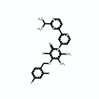 Cc1c(OCc2ccc(F)cc2F)c(Cl)c(=O)n(-c2ccnc(-c3ccnc(C(C)C)n3)c2)c1C